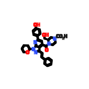 O=C(O)N1CCN(C(=O)c2cc(-c3ccc(O)cc3)nc3c2c(C=Cc2ccccc2)nn3C2CCCCO2)[C@@H](CO)C1